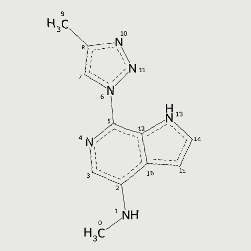 CNc1cnc(-n2cc(C)nn2)c2[nH]ccc12